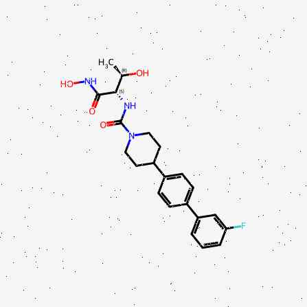 C[C@@H](O)[C@H](NC(=O)N1CCC(c2ccc(-c3cccc(F)c3)cc2)CC1)C(=O)NO